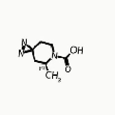 C[C@H]1CC2(CCN1C(=O)O)N=N2